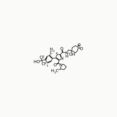 Cc1cc(C(O)(C(F)(F)F)C(F)(F)F)ccc1-c1sc(C(=O)NCC2(O)CCS(=O)(=O)CC2)nc1C(=O)N1CCCC1C